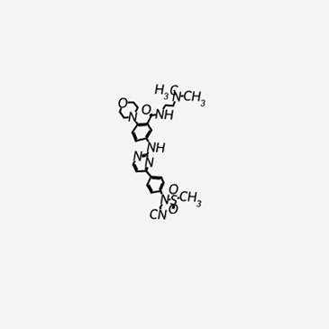 CN(C)CCNC(=O)c1cc(Nc2nccc(-c3ccc(N(CC#N)S(C)(=O)=O)cc3)n2)ccc1N1CCOCC1